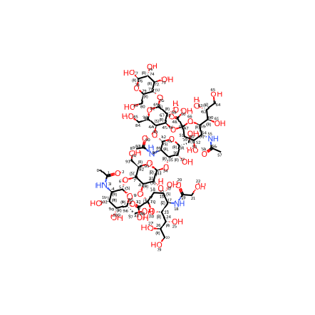 CC(=O)N[C@H]1[C@H](O[C@@H]2[C@H](O[C@]3(C(=O)O)C[C@H](O)[C@@H](NC(=O)CO)[C@H]([C@H](O)[C@H](O)CO)O3)[C@@H](O)[C@H](O[C@H]3[C@@H](O)[C@@H](CO)O[C@@H](O[C@@H]4[C@H](O[C@]5(C(=O)O)C[C@H](O)[C@@H](NC(C)=O)[C@H]([C@H](O)[C@H](O)CO)O5)[C@@H](O)[C@H](O[C@H]5[C@H](O)[C@@H](O)[C@H](O)O[C@@H]5CO)O[C@@H]4CO)[C@@H]3NC(C)=O)O[C@@H]2CO)O[C@H](CO)[C@H](O)[C@@H]1O